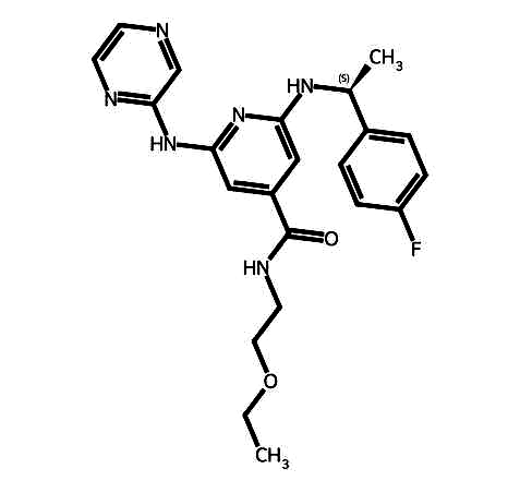 CCOCCNC(=O)c1cc(Nc2cnccn2)nc(N[C@@H](C)c2ccc(F)cc2)c1